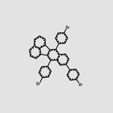 Brc1ccc(-c2ccc3c(-c4ccc(Br)cc4)c4c(c(-c5ccc(Br)cc5)c3c2)-c2cccc3cccc-4c23)cc1